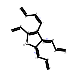 C=C/C=C\c1c(C=C)oc(=C/C=C)/c1=C\C=C